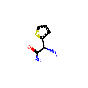 [NH]C(=O)C(N)c1cccs1